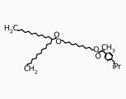 C=CCCCCCCCCCC(CCCCCCCCCC=C)C(=O)OCCCCCCCCCCOC(=O)[C@@H](C)c1ccc(CC(C)C)cc1